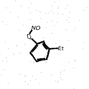 CCc1cccc(ON=O)c1